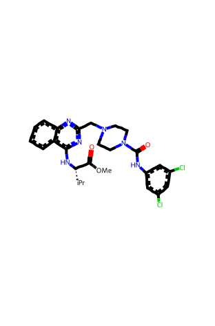 COC(=O)[C@@H](Nc1nc(CN2CCN(C(=O)Nc3cc(Cl)cc(Cl)c3)CC2)nc2ccccc12)C(C)C